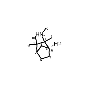 CNC1(C)[C@H]2CCC(C2)C1(C)C